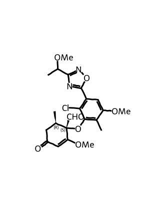 COC1=CC(=O)C[C@@H](C)[C@]1(C=O)Oc1c(C)c(OC)cc(-c2nc(C(C)OC)no2)c1Cl